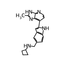 Cc1nc2c(-c3cc4cc(CNC5CCC5)ccc4[nH]3)ccnc2[nH]1